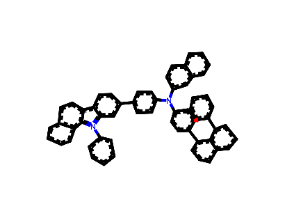 c1ccc(-c2cccc3cccc(-c4ccc(N(c5ccc(-c6ccc7c8ccc9ccccc9c8n(-c8ccccc8)c7c6)cc5)c5ccc6ccccc6c5)cc4)c23)cc1